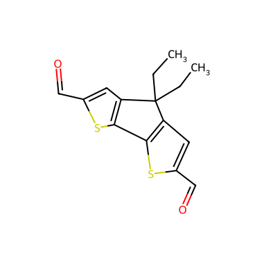 CCC1(CC)c2cc(C=O)sc2-c2sc(C=O)cc21